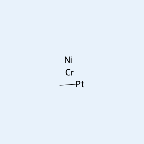 [CH3][Pt].[Cr].[Ni]